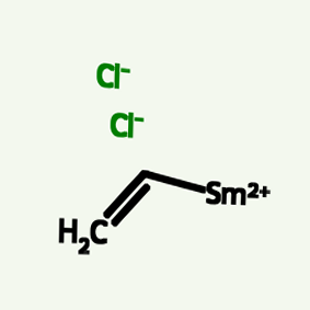 C=[CH][Sm+2].[Cl-].[Cl-]